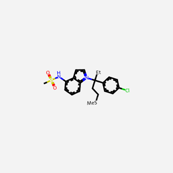 CCC(CCSC)(c1ccc(Cl)cc1)n1ccc2c(NS(C)(=O)=O)cccc21